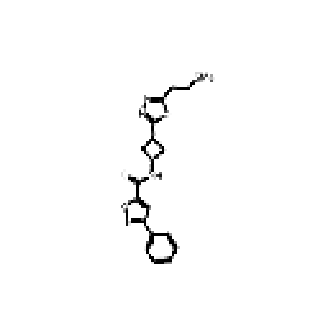 CSCCc1nnc(C2CC(NC(=O)c3cc(-c4ccccc4)no3)C2)o1